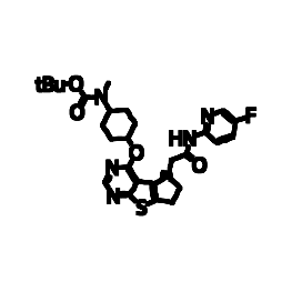 CN(C(=O)OC(C)(C)C)C1CCC(Oc2ncnc3sc4c(c23)[C@@H](CC(=O)Nc2ccc(F)cn2)CC4)CC1